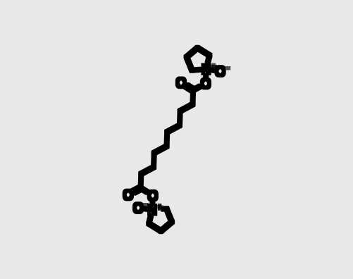 O=C(CCCCCCCCC(=O)O[N+]1([O-])CCCC1)O[N+]1([O-])CCCC1